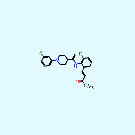 C=C(Nc1c(F)cccc1/C=C/C(=O)OC)C1CCN(c2cccc(F)c2)CC1